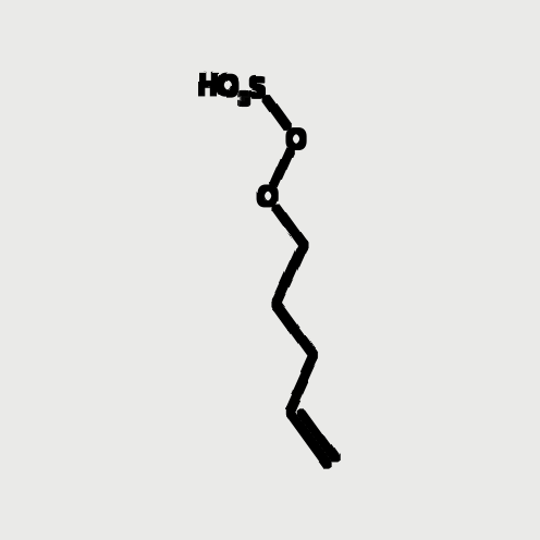 C=CCCCOOS(=O)(=O)O